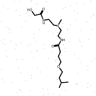 CC(C)CCOCCCC(=O)NCCN(C)CCNC(=O)CO